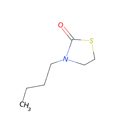 CCCCN1CCSC1=O